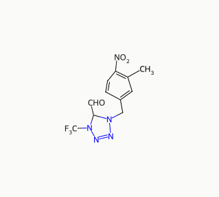 Cc1cc(CN2N=NN(C(F)(F)F)C2C=O)ccc1[N+](=O)[O-]